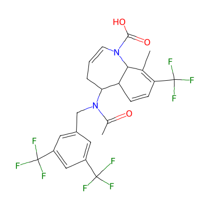 CC(=O)N(Cc1cc(C(F)(F)F)cc(C(F)(F)F)c1)C1CC=CN(C(=O)O)C2C(C)=C(C(F)(F)F)C=CC21